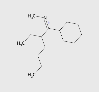 CCCCC(CC)/C(=N\C)C1CCCCC1